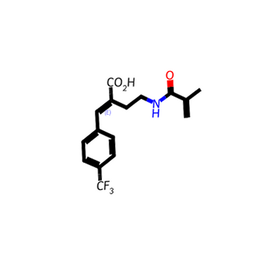 C=C(C)C(=O)NCC/C(=C\c1ccc(C(F)(F)F)cc1)C(=O)O